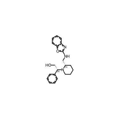 OC[C@@H](c1ccccc1)N1CCCC[C@H]1CNc1nc2ccccc2o1